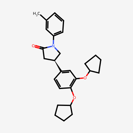 Cc1cccc(N2C[C@@H](c3ccc(OC4CCCC4)c(OC4CCCC4)c3)CC2=O)c1